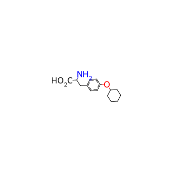 NC(Cc1ccc(OC2CCCCC2)cc1)C(=O)O